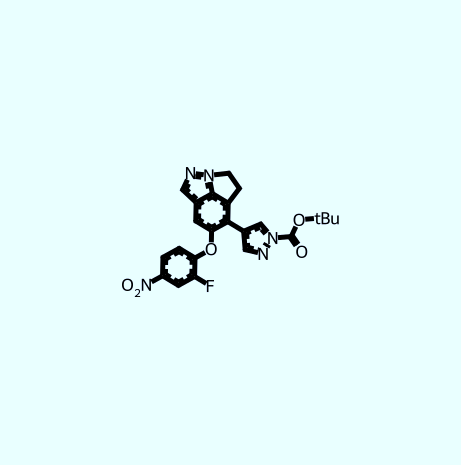 CC(C)(C)OC(=O)n1cc(-c2c(Oc3ccc([N+](=O)[O-])cc3F)cc3cnn4c3c2CC4)cn1